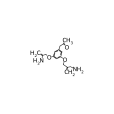 C=C(N)COc1cc(CC(C)=O)cc(OCC(=C)CN)c1